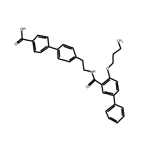 CCCCOc1ccc(-c2ccccc2)cc1C(=O)NCCc1ccc(-c2ccc(C(=O)O)cc2)cc1